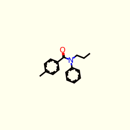 CCCN(C(=O)c1ccc(C)cc1)c1ccccc1